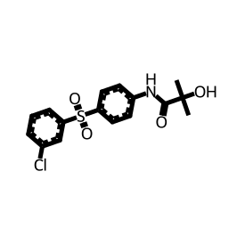 CC(C)(O)C(=O)Nc1ccc(S(=O)(=O)c2cccc(Cl)c2)cc1